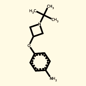 CC(C)(C)N1CC(Oc2ccc(N)cc2)C1